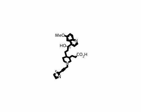 COc1ccc2nccc([C@@H](O)CCC3CCN(CC#Cc4nccs4)CC3CCC(=O)O)c2c1